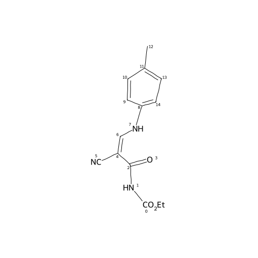 CCOC(=O)NC(=O)C(C#N)=CNc1ccc(C)cc1